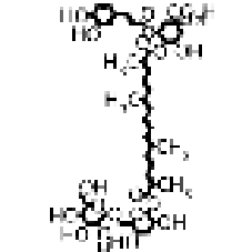 CC(/C=C/C=C(\C)C(=O)OC1OC(COC2OC(CO)C(O)C(O)C2O)[C@@H](O)C[C@@H]1O)=C\C=C\C=C(C)\C=C\C=C(/C)C(=O)O[C@@H]1[C@@H](O)C[C@](O)(C(=O)O)C[C@H]1OC(=O)/C=C/c1ccc(O)c(O)c1